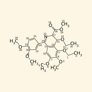 CCOc1c(OC)c(OC)cc2c1C(OCC)C(C(=O)OC)N=C2c1ccc(OC)c(OC)c1